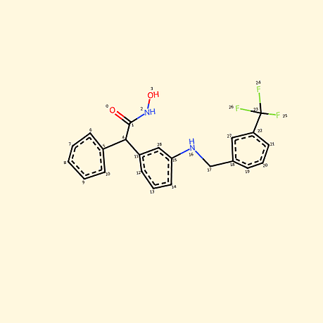 O=C(NO)C(c1ccccc1)c1cccc(NCc2cccc(C(F)(F)F)c2)c1